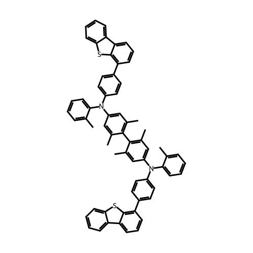 Cc1ccccc1N(c1ccc(-c2cccc3c2sc2ccccc23)cc1)c1cc(C)c(-c2c(C)cc(N(c3ccc(-c4cccc5c4sc4ccccc45)cc3)c3ccccc3C)cc2C)c(C)c1